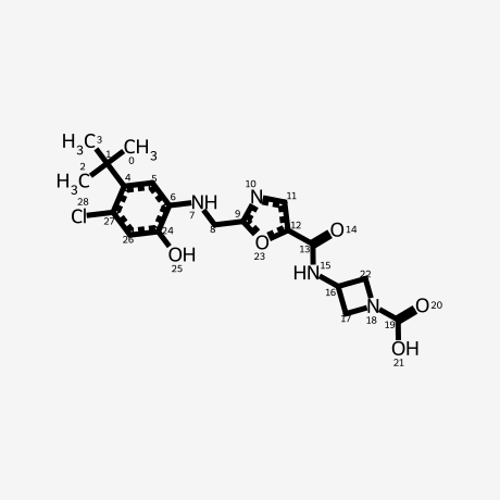 CC(C)(C)c1cc(NCc2ncc(C(=O)NC3CN(C(=O)O)C3)o2)c(O)cc1Cl